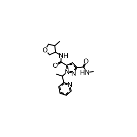 CNC(=O)c1cc(C(=O)NC2COCC2C)n(C(C)c2ccccn2)n1